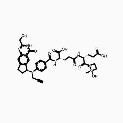 C#CCN(c1ccc(C(=O)N[C@@H](CCC(=O)N[C@H](CCC(=O)O)C(=O)N2CC[Si]2(C)O)C(=O)O)cc1)[C@H]1CCc2cc3nc(CO)[nH]c(=O)c3cc21